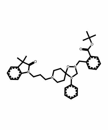 CC(C)(C)OC(=O)c1ccccc1CN1CN(c2ccccc2)C2(CCN(CCCN3C(=O)C(C)(C)c4ccccc43)CC2)O1